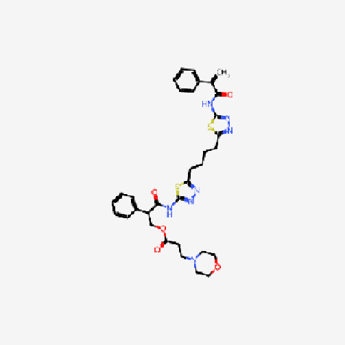 C=C(C(=O)Nc1nnc(CCCCc2nnc(NC(=O)C(COC(=O)CCN3CCOCC3)c3ccccc3)s2)s1)c1ccccc1